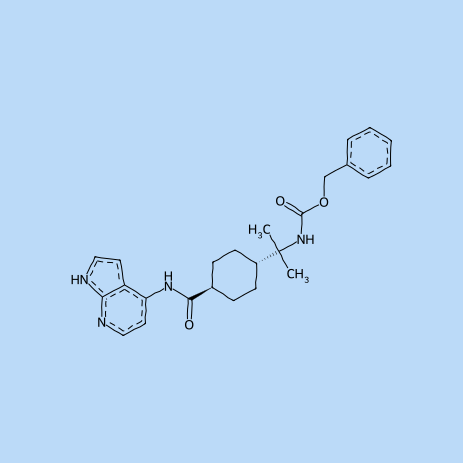 CC(C)(NC(=O)OCc1ccccc1)[C@H]1CC[C@H](C(=O)Nc2ccnc3[nH]ccc23)CC1